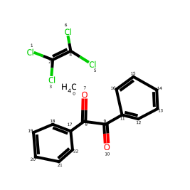 C.ClC(Cl)=C(Cl)Cl.O=C(C(=O)c1ccccc1)c1ccccc1